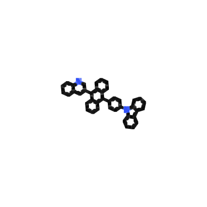 c1ccc2ncc(-c3c4ccccc4c(-c4ccc(-n5c6ccccc6c6ccccc65)cc4)c4ccccc34)cc2c1